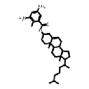 Cc1c(N)cc(N)cc1C(=O)OC1CCC2(C)C(=CCC3C2CCC2(C)C(C(C)CCCC(C)C)CCC32)C1